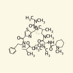 CCOC(=O)[C@@H](C)C[C@H](Cc1ccccc1)NC(=O)c1csc([C@@H](C[C@H](C(C)C)N(C)C(=O)[C@@H](NC(=O)[C@H]2CCCCN2C)C(C)C)OC(=O)N(C)C)n1